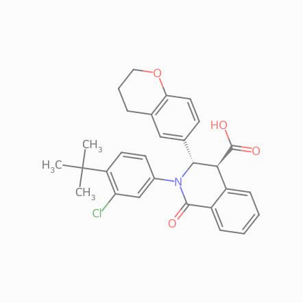 CC(C)(C)c1ccc(N2C(=O)c3ccccc3[C@H](C(=O)O)[C@H]2c2ccc3c(c2)CCCO3)cc1Cl